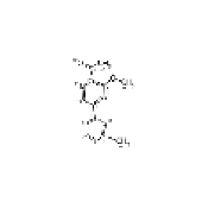 COc1cc(-c2cccc(C)c2)cnc1C(C)=O